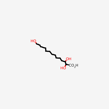 O=C(O)C(O)C(O)CCCCCCCCCCCO